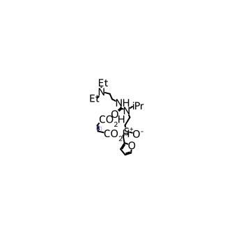 CCN(CC)CCNC(=O)N(CC[S+]([O-])Cc1ccco1)C(C)C.O=C(O)/C=C\C(=O)O